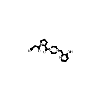 N#CCC(=O)N1CCCC1C(=O)N1CCN(Cc2ncccc2O)CC1